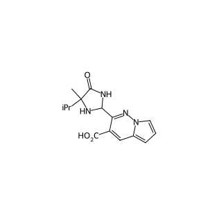 CC(C)C1(C)NC(c2nn3cccc3cc2C(=O)O)NC1=O